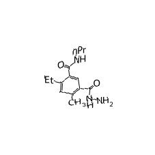 CCCNC(=O)c1cc(C(=O)NN)c(C)cc1CC